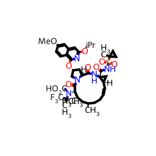 COc1ccc2c(O[C@@H]3C[C@H]4C(=O)N[C@]5(C(=O)NS(=O)(=O)C6(C)CC6)C[C@H]5C=CCC[C@@H](C)C[C@@H](C)[C@H](N(C(=O)O)C(C)(C)C(F)(F)F)C(=O)N4C3)nc(OC(C)C)cc2c1